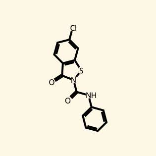 O=C(Nc1ccccc1)n1sc2cc(Cl)ccc2c1=O